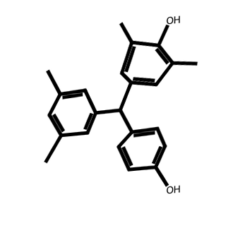 Cc1cc(C)cc(C(c2ccc(O)cc2)c2cc(C)c(O)c(C)c2)c1